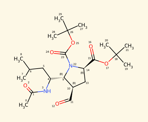 CC(=O)NC(CC(C)C)[C@H]1[C@H](C=O)C[C@H](C(=O)OC(C)(C)C)N1C(=O)OC(C)(C)C